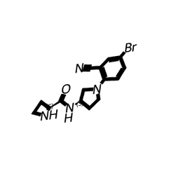 N#Cc1cc(Br)ccc1N1CC[C@H](NC(=O)[C@@H]2CCN2)C1